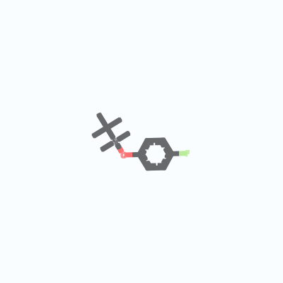 CC(C)(C)[Si](C)(C)Oc1ccc(F)cc1